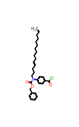 C=CCCCCCCCCC=CCCCN(C(=O)OCc1ccccc1)c1ccc(C(=O)Cl)cc1